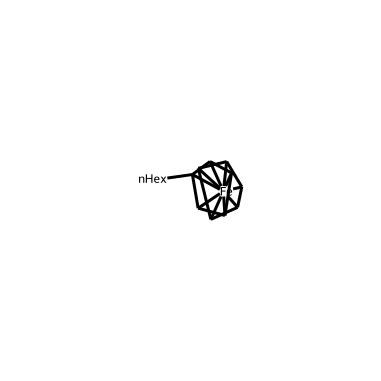 CCCCCC[C]12[CH]3[CH]4[CH]5[CH]1[Fe]45321678[CH]2[CH]1[CH]6[CH]7[CH]28